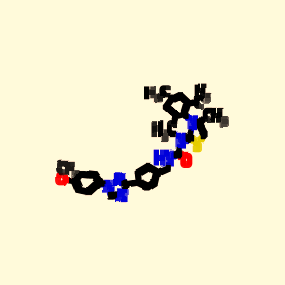 Cc1cc(C)c(-n2c(C)cs/c2=N\C(=O)NCc2ccc(-c3ncn(-c4ccc(OC(F)(F)F)cc4)n3)cc2)c(C)c1